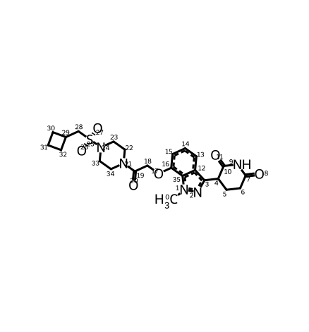 Cn1nc(C2CCC(=O)NC2=O)c2cccc(OCC(=O)N3CCN(S(=O)(=O)CC4CCC4)CC3)c21